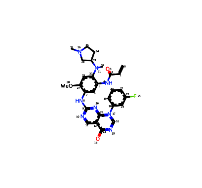 C=CC(=O)Nc1cc(Nc2ncc3c(=O)ncn(-c4cccc(F)c4)c3n2)c(OC)cc1N(C)C1CCN(C)C1